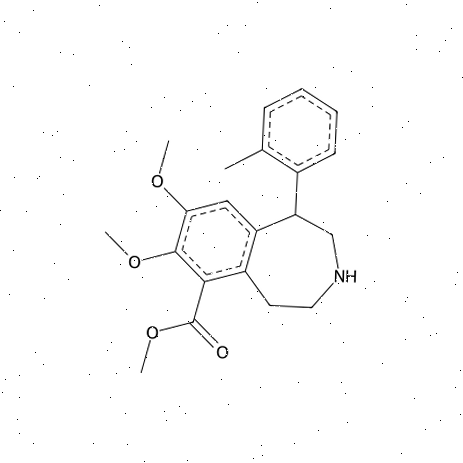 COC(=O)c1c2c(cc(OC)c1OC)C(c1ccccc1C)CNCC2